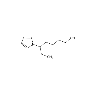 CCC(CCCCO)n1cccc1